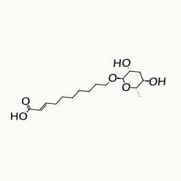 C[C@@H]1O[C@@H](OCCCCCCC/C=C/C(=O)O)[C@H](O)C[C@H]1O